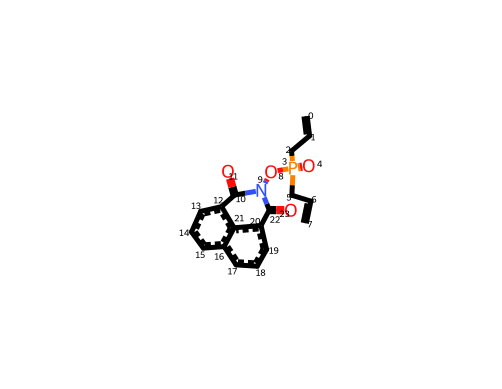 C=CCP(=O)(CC=C)ON1C(=O)c2cccc3cccc(c23)C1=O